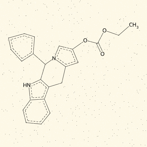 CCOC(=O)Oc1cc2n(c1)C(c1ccccc1)c1[nH]c3ccccc3c1C2